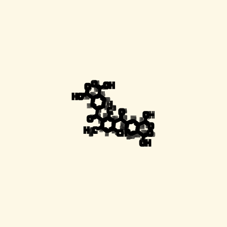 Cc1cc(C)c(C(=O)c2ccc(C(=O)O)c(C(=O)O)c2)c(C)c1C(=O)c1ccc(C(=O)O)c(C(=O)O)c1